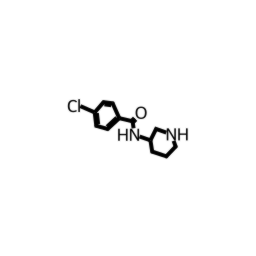 O=C(NC1CCCNC1)c1ccc(Cl)cc1